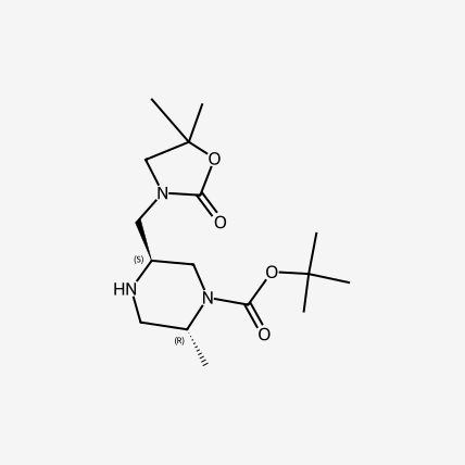 C[C@@H]1CN[C@@H](CN2CC(C)(C)OC2=O)CN1C(=O)OC(C)(C)C